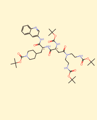 CC(C)(C)OC(=O)NCCN(CCNC(=O)OC(C)(C)C)C(=O)C[C@H](NC(=O)OC(C)(C)C)C(=O)N[C@@H](CC1CCN(C(=O)OC(C)(C)C)CC1)C(=O)Nc1cnc2ccccc2c1